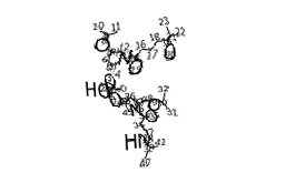 C=P(O)(OC[C@@H]1C[C@@H](OC(C)C)CN1C(=O)CCCC(=O)C(C)C)O[C@@H]1C[C@@H](COC(C)C)N(C(=O)CCNC(C)C)C1